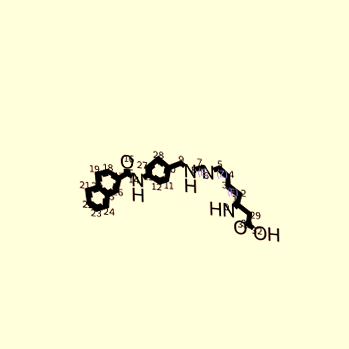 N=C(/C=C/C=C\N=C\NCc1ccc(NC(=O)c2ccc3ccccc3c2)cc1)CC(=O)O